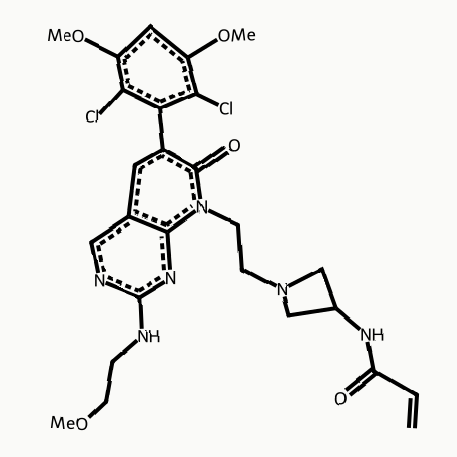 C=CC(=O)NC1CN(CCn2c(=O)c(-c3c(Cl)c(OC)cc(OC)c3Cl)cc3cnc(NCCOC)nc32)C1